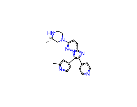 Cc1cc(-c2c(-c3ccncc3)nc3ccc(N4CCN[C@@H](C)C4)nn23)ccn1